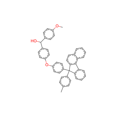 COc1ccc(C(O)c2ccc(Oc3ccc(C4(c5ccc(C)cc5)c5ccccc5-c5c4ccc4ccccc54)cc3)cc2)cc1